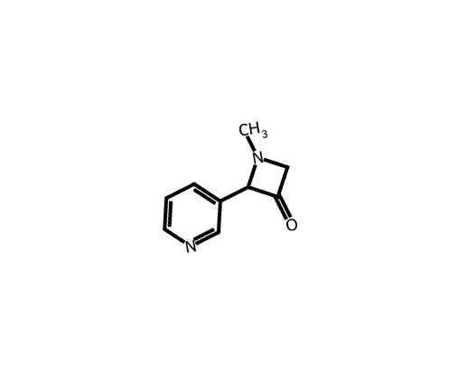 CN1CC(=O)C1c1cccnc1